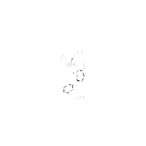 CC(C)COc1cccc(-c2ccc(F)c(CN[C@@H](CO)C(C)C)n2)c1